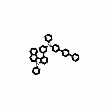 c1ccc(-c2ccc(-c3ccc(N(c4ccccc4)c4cccc(-c5cccc6c5c5c7ccccc7ccc5n6-c5ccccc5)c4)cc3)cc2)cc1